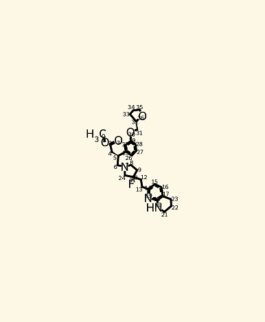 COC(=O)C[C@H](CN1CC[C@@](F)(CCc2ccc3c(n2)NCCC3)C1)c1cccc(OC[C@H]2CCCO2)c1